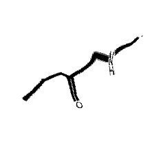 [CH2]NCC(=O)CC